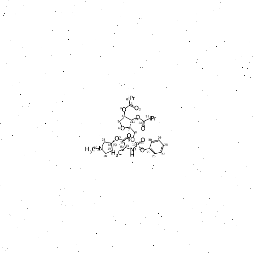 CC(C)C(=O)OC1COC(COP(=O)(N[C@@H](C)C(=O)O[C@H]2CCN(C)C2)Oc2ccccc2)C1OC(=O)C(C)C